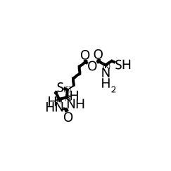 N[C@@H](CS)C(=O)OC(=O)CCCC[C@@H]1SC[C@@H]2NC(=O)N[C@@H]21